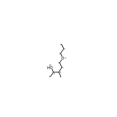 CCCOCCC(C)C(C)O